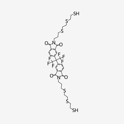 O=C1c2ccc(C(c3ccc4c(c3)C(=O)N(CCCSCCSCCS)C4=O)(C(F)(F)F)C(F)(F)F)cc2C(=O)N1CCCSCCSCCS